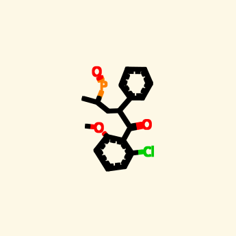 COc1cccc(Cl)c1C(=O)C(CC(C)P=O)c1ccccc1